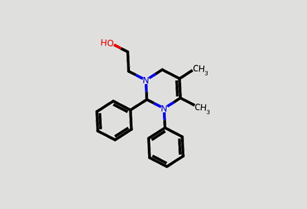 CC1=C(C)N(c2ccccc2)C(c2ccccc2)N(CCO)C1